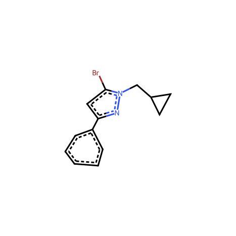 Brc1cc(-c2ccccc2)nn1CC1CC1